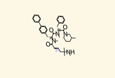 CNC(C)(C)C/C=C/C(=O)N(C)[C@H](Cc1ccc(-c2ccccc2)cc1)C(=O)N(C)[C@H](Cc1ccccc1)C(=O)N1CCCC(C)C1